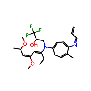 C=C/C=N\C1=CC=C(N(CC(O)C(F)(F)F)/C(=C/C(=C\C(C)OC)OC)CC)CC=C1C